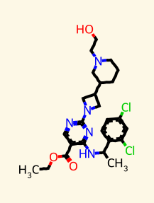 CCOC(=O)c1cnc(N2CC(C3CCCN(CCO)C3)C2)nc1NC(C)c1ccc(Cl)cc1Cl